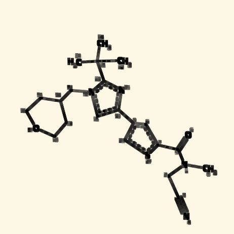 CN(CC#N)C(=O)c1cc(-c2cn(CC3CCOCC3)c(C(C)(C)C)n2)cs1